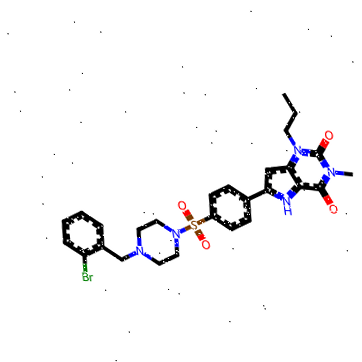 CCCn1c(=O)n(C)c(=O)c2[nH]c(-c3ccc(S(=O)(=O)N4CCN(Cc5ccccc5Br)CC4)cc3)cc21